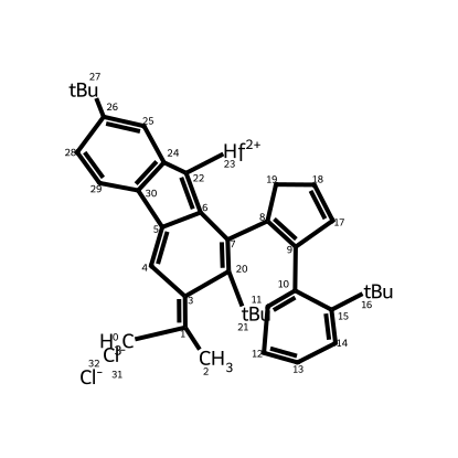 CC(C)=c1cc2c(c(C3=C(c4ccccc4C(C)(C)C)C=CC3)c1C(C)(C)C)=[C]([Hf+2])c1cc(C(C)(C)C)ccc1-2.[Cl-].[Cl-]